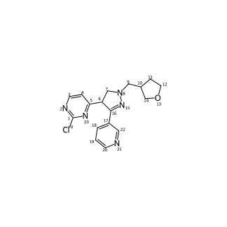 Clc1nccc(C2CN(CC3CCOC3)N=C2c2cccnc2)n1